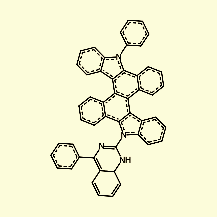 C1=CC2=C(c3ccccc3)N=C(n3c4ccccc4c4c5c6ccccc6c6c(c7ccccc7n6-c6ccccc6)c5c5ccccc5c43)NC2C=C1